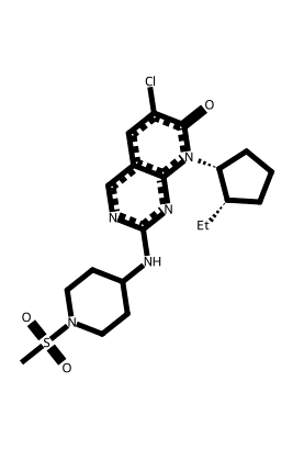 CC[C@H]1CCC[C@H]1n1c(=O)c(Cl)cc2cnc(NC3CCN(S(C)(=O)=O)CC3)nc21